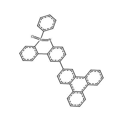 O=S1(c2ccccc2)=Nc2ccc(-c3ccc4c5ccccc5c5ccccc5c4c3)cc2-c2ccccc21